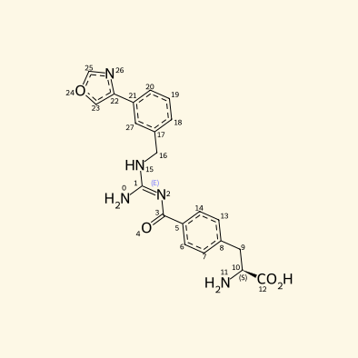 N/C(=N\C(=O)c1ccc(C[C@H](N)C(=O)O)cc1)NCc1cccc(-c2cocn2)c1